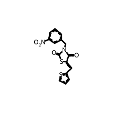 O=C1SC(=Cc2cccs2)C(=O)N1Cc1cccc([N+](=O)[O-])c1